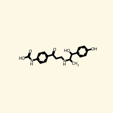 CC(NCCC(=O)c1ccc(NC(=O)O)cc1)C(O)c1ccc(O)cc1